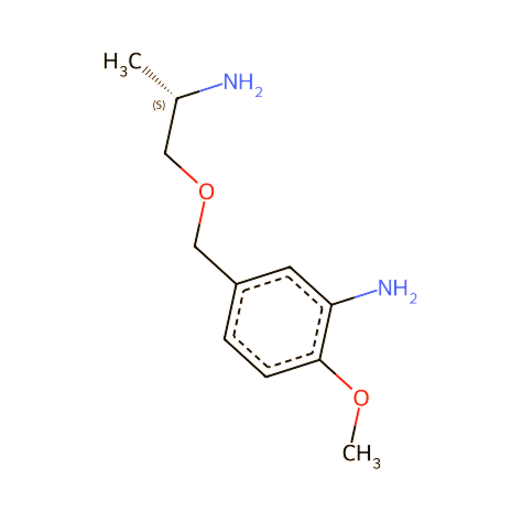 COc1ccc(COC[C@H](C)N)cc1N